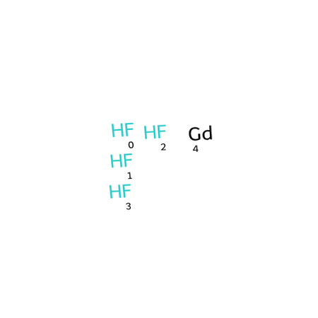 F.F.F.F.[Gd]